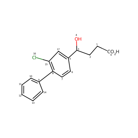 O=C(O)CCC(O)c1ccc(-c2ccccc2)c(Cl)c1